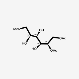 CNC[C@H](O)[C@@H](O)[C@H](O)[C@@H](COC(C)=O)OC(C)=O